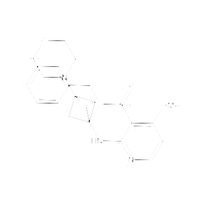 COc1ccnc(NC23CC(N4CCOCC4)(C2)C3)c1C(=O)OCc1ccccc1